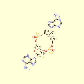 C=C1OP(=O)(S)OC[C@H]2O[C@@H](n3cnc4c(N)ncnc43)[C@@H](F)[C@@H]2OP(=O)(S)OC[C@H]2C[C@@H](n3cnc4c(N)ncnc43)[C@H]12